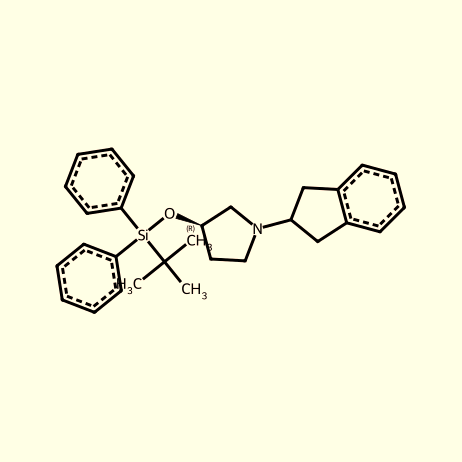 CC(C)(C)[Si](O[C@@H]1CCN(C2Cc3ccccc3C2)C1)(c1ccccc1)c1ccccc1